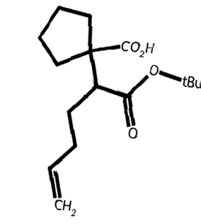 C=CCCC(C(=O)OC(C)(C)C)C1(C(=O)O)CCCC1